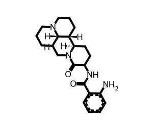 Nc1ccccc1C(=O)NC1CC[C@@H]2[C@H]3CCCN4CCC[C@@H](CN2C1=O)[C@@H]34